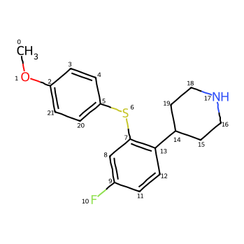 COc1ccc(Sc2cc(F)ccc2C2CCNCC2)cc1